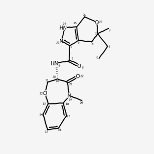 CCC1(C)Cc2c(C(=O)N[C@H]3COc4ccccc4N(C)C3=O)n[nH]c2CO1